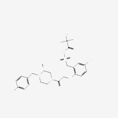 C[C@@H]1CN(Cc2ccc(F)cc2)[C@@H](C)CN1C(=O)COc1ccc(Cl)cc1CS(=O)(=O)NC(=O)C(C)(C)O